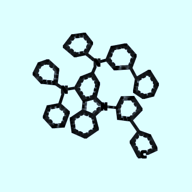 c1ccc(-c2cccc(N(c3ccccc3)c3cc(N(c4ccccc4)c4ccccc4)c4c5ccccc5n(-c5cccc(-c6ccccc6)c5)c4c3)c2)cc1